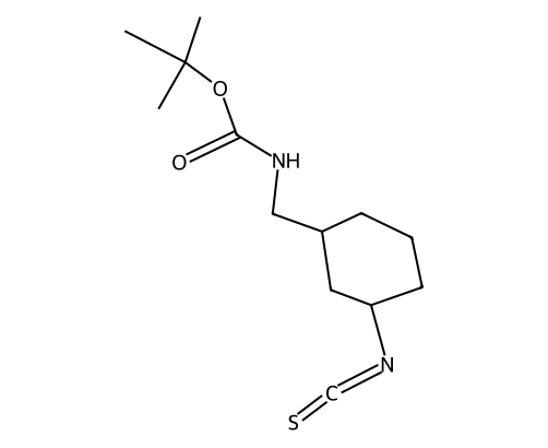 CC(C)(C)OC(=O)NCC1CCCC(N=C=S)C1